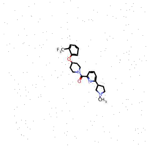 CN1CCC(c2cccc(C(=O)N3CCC(Oc4ccccc4C(F)(F)F)CC3)n2)C1